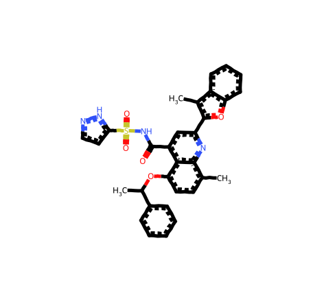 Cc1c(-c2cc(C(=O)NS(=O)(=O)c3ccn[nH]3)c3c(OC(C)c4ccccc4)ccc(C)c3n2)oc2ccccc12